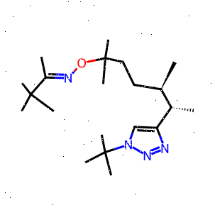 C/C(=N\OC(C)(C)CC[C@@H](C)[C@H](C)c1cn(C(C)(C)C)nn1)C(C)(C)C